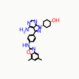 Cc1cc(C)c2oc(Nc3ccc(-c4nn([C@H]5CC[C@@H](O)CC5)c5ncnc(N)c45)cc3)nc2c1